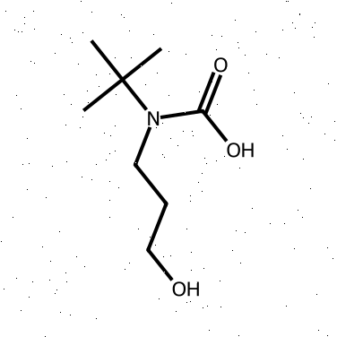 CC(C)(C)N(CCCO)C(=O)O